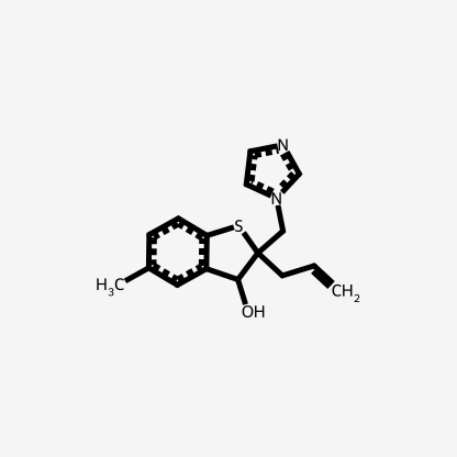 C=CCC1(Cn2ccnc2)Sc2ccc(C)cc2C1O